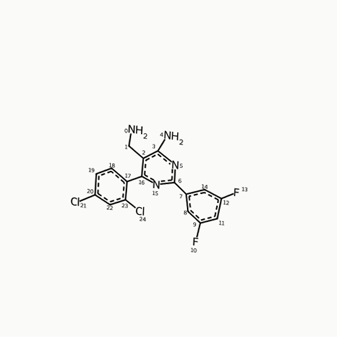 NCc1c(N)nc(-c2cc(F)cc(F)c2)nc1-c1ccc(Cl)cc1Cl